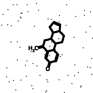 C=C1CC2C3CC=CC3CCC2C2C=CC(=O)C=C12